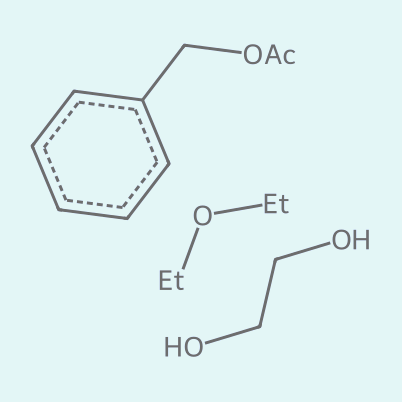 CC(=O)OCc1ccccc1.CCOCC.OCCO